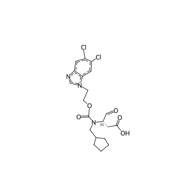 O=C[C@H](CC(=O)O)N(CC1CCCC1)C(=O)OCCn1cnc2cc(Cl)c(Cl)cc21